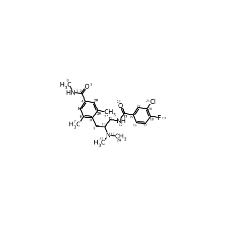 CNC(=O)c1cc(C)c(C[C@@H](CNC(=O)c2ccc(F)c(Cl)c2)N(C)C)c(C)c1